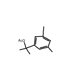 CC(=O)OC(C)(C)c1cc(C)cc(C)c1